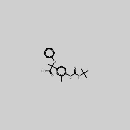 Cc1cc(C(C)(Oc2ccccc2)C(=O)O)ccc1NC(=O)NC(C)(C)C